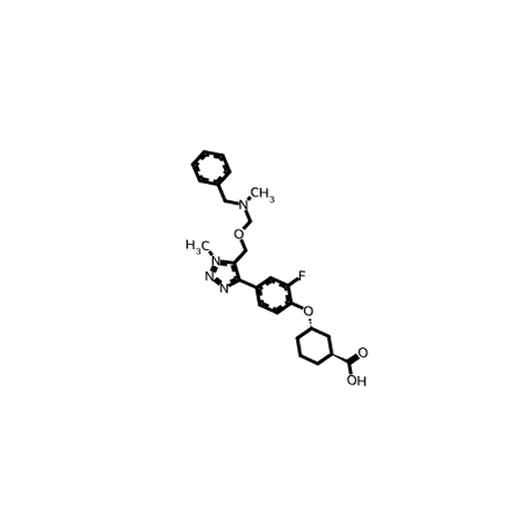 CN(COCc1c(-c2ccc(O[C@H]3CCC[C@H](C(=O)O)C3)c(F)c2)nnn1C)Cc1ccccc1